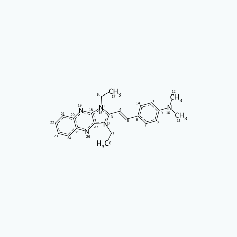 CCn1c(C=Cc2ccc(N(C)C)cc2)[n+](CC)c2nc3ccccc3nc21